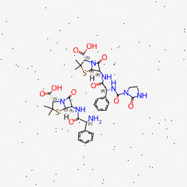 CC1(C)S[C@@H]2[C@H](NC(=O)[C@H](N)c3ccccc3)C(=O)N2[C@H]1C(=O)O.CC1(C)S[C@@H]2[C@H](NC(=O)[C@H](NC(=O)N3CCNC3=O)c3ccccc3)C(=O)N2[C@H]1C(=O)O